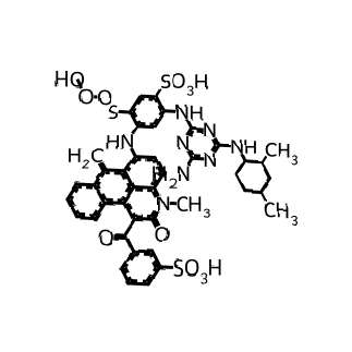 C=c1c2ccccc2c2c(C(=O)c3cccc(S(=O)(=O)O)c3)c(=O)n(C)c3ccc(Nc4cc(Nc5nc(N)nc(NC6CCC(C)CC6C)n5)c(S(=O)(=O)O)cc4SOOO)c1c23